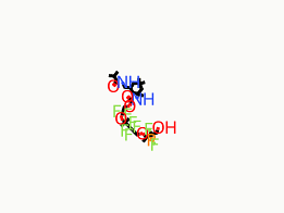 CC(C)C(=O)NCC1CC(C)(C)CC(C)(NC(=O)OCC(F)(F)OC(C)(C)C(F)(F)C(F)(F)COC2(C)P(F)C2(F)CO)C1